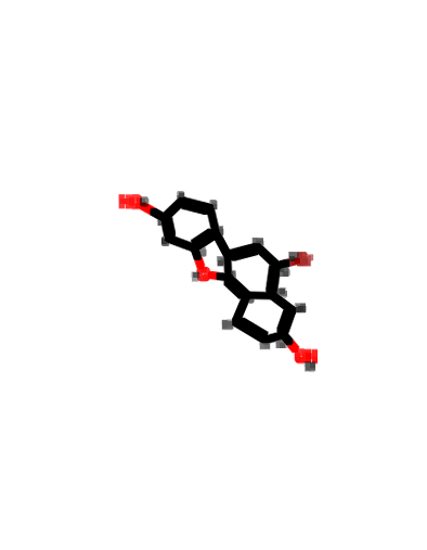 Oc1ccc2c(c1)oc1c3ccc(O)cc3c(Br)cc21